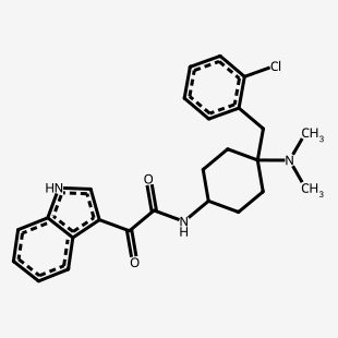 CN(C)C1(Cc2ccccc2Cl)CCC(NC(=O)C(=O)c2c[nH]c3ccccc23)CC1